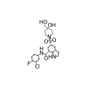 O=C(Nc1ccc(F)c(Cl)c1)c1cc(S(=O)(=O)N2CCC(O)(CO)CC2)cc2cc[nH]c12